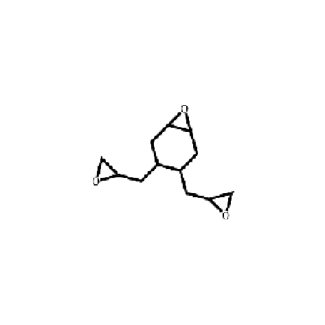 C1OC1CC1CC2OC2CC1CC1CO1